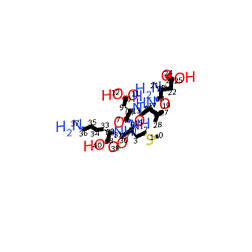 CSCC[C@H](NC(=O)[C@H](CC(=O)O)NC(=O)[C@@H](NC(=O)[C@@H](N)CC(=O)O)C(C)C)C(=O)N[C@@H](CCCCN)C(=O)O